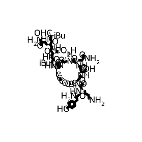 CC[C@H](C)[C@H](NC(=O)[C@]1(C)CCCCCCCC[C@](C)(NC(=O)[C@H](CCCCN)NC(=O)[C@@H](N)Cc2ccc(O)cc2)C(=O)N[C@@H]([C@@H](C)O)C(=O)N[C@@H](CCC(N)=O)C(=O)N[C@@H](C)C(=O)N1)C(=O)N[C@@H](CC(=O)O)C(=O)N[C@@H](CCC(N)=O)C(=O)N[C@H](C=O)[C@@H](C)CC